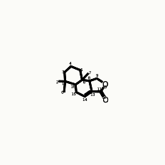 CC1(C)CCCC2(C)C3COC(=O)C3=CCC12